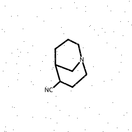 N#CC1CCN2CCCC1C2